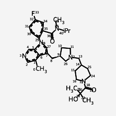 Cc1cncc2c1c(C[C@H]1CCN(CC3CCN(C(=O)C(C)(C)O)CC3)C1)cn2-c1ccc(F)cc1C(=O)N(C)C(C)C